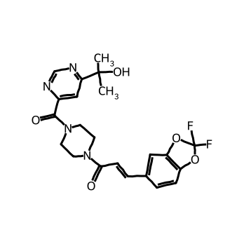 CC(C)(O)c1cc(C(=O)N2CCN(C(=O)C=Cc3ccc4c(c3)OC(F)(F)O4)CC2)ncn1